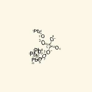 O=S(=O)([O-])[O-].[O]=[Pb].[O]=[Pb].[O]=[Pb].[Pb+2]